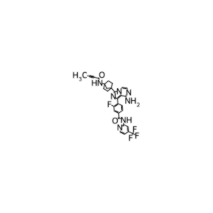 CC#CC(=O)NC12CCC(c3nc(-c4ccc(C(=O)Nc5cc(C(F)(F)F)ccn5)cc4F)c4c(N)nccn34)(CC1)C2